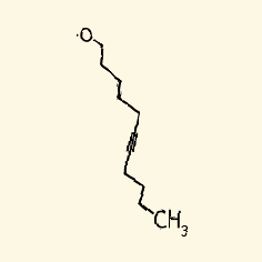 CCCCC#CCCCCC[O]